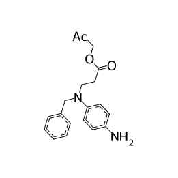 CC(=O)COC(=O)CCN(Cc1ccccc1)c1ccc(N)cc1